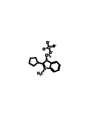 Cn1c(N2CCCC2)[n+](C)c2ccccc21.[O-][Cl+3]([O-])([O-])[O-]